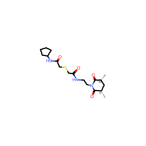 C[C@@H]1C[C@H](C)C(=O)N(CCNC(=O)CSCC(=O)NC2CCCC2)C1=O